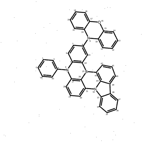 c1ccc(N2c3ccc(N4c5ccccc5Oc5ccccc54)cc3B3c4c2cccc4-n2c4ccccc4c4cccc3c42)cc1